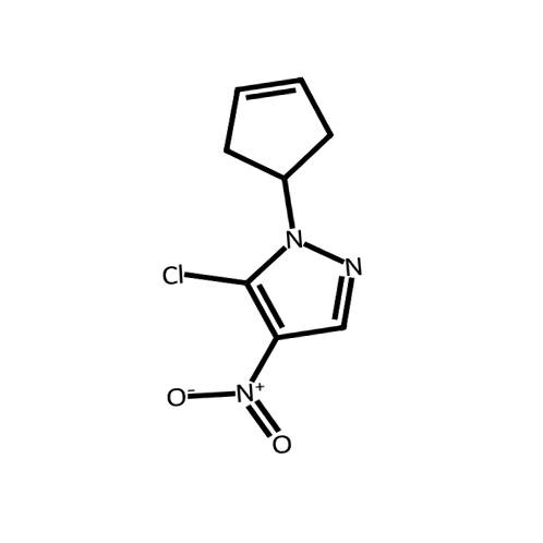 O=[N+]([O-])c1cnn(C2CC=CC2)c1Cl